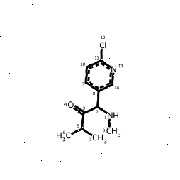 CNC(C(=O)C(C)C)c1ccc(Cl)nc1